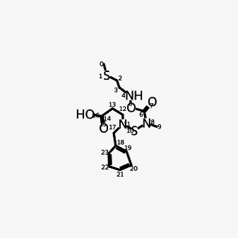 CSCCNOC(=O)N(C)SN(CCC(=O)O)Cc1ccccc1